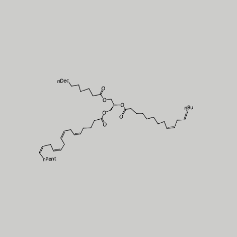 CCCC/C=C\C/C=C\CCCCCCCC(=O)O[C@@H](COC(=O)CCC/C=C\C/C=C\C/C=C\C/C=C\CCCCC)COC(=O)CCCCCCCCCCCCCCC